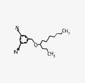 CCCCCCCC(CCC)OCc1cc(C#N)cc(C#N)c1